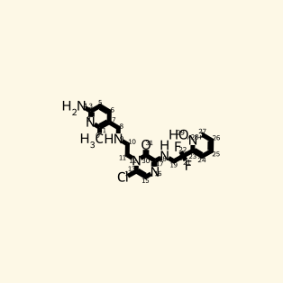 Cc1nc(N)ccc1CNCCn1c(Cl)cnc(NCC(F)(F)c2cccc[n+]2O)c1=O